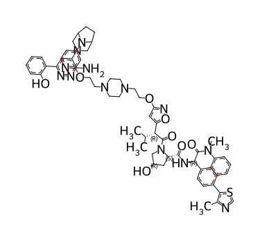 Cc1ncsc1-c1ccc([C@@H](NC(=O)[C@@H]2C[C@@H](O)CN2C(=O)[C@@H](c2cc(OCCN3CCN(CCOc4cc(N5C6CCC5CN(c5cc(-c7ccccc7O)nnc5N)C6)ccn4)CC3)no2)C(C)C)C(=O)N(C)c2ccccc2)cc1